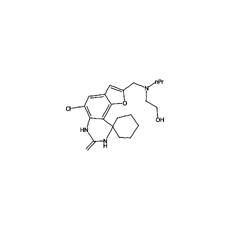 C=C1Nc2c(Cl)cc3cc(CN(CCC)CCO)oc3c2C2(CCCCC2)N1